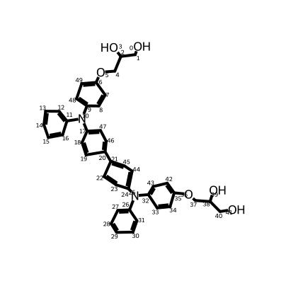 OCC(O)COc1ccc(N(c2ccccc2)c2ccc(-c3ccc(N(c4ccccc4)c4ccc(OCC(O)CO)cc4)cc3)cc2)cc1